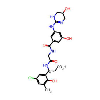 Cc1cc(Cl)cc([C@@H](CC(=O)O)NC(=O)CNC(=O)c2cc(O)cc(NC3=NCC(O)CN3)c2)c1O